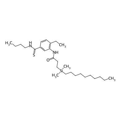 CCCCCCCCCC[Si](C)(C)CCC(=O)Nc1cc(C(=S)NCCCC)ccc1CC